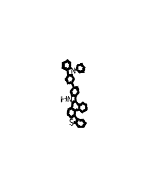 c1ccc(-n2c3ccccc3c3ccc(-c4ccc5c(c4)[nH]c4c6ccc7sc8ccccc8c7c6c6ccccc6c54)cc32)cc1